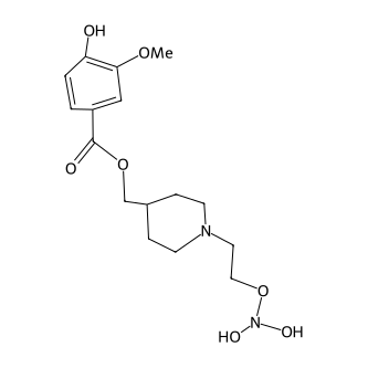 COc1cc(C(=O)OCC2CCN(CCON(O)O)CC2)ccc1O